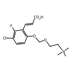 C[Si](C)(C)CCOCOc1ccc(Cl)c(F)c1/C=C/C(=O)O